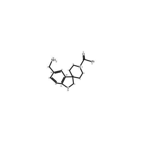 CC(C)C(=O)N1CCC2(CC1)CSc1ccc(CN)cc12